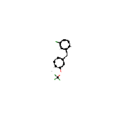 Fc1cccc(Cc2cc[c]c(OC(F)(F)F)c2)c1